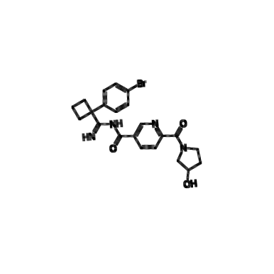 N=C(NC(=O)c1ccc(C(=O)N2CCC(O)C2)nc1)C1(c2ccc(Br)cc2)CCC1